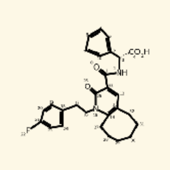 O=C(N[C@@H](C(=O)O)c1ccccc1)c1cc2c(n(CCc3ccc(F)cc3)c1=O)CCCCCC2